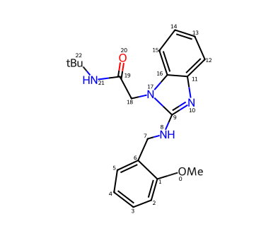 COc1ccccc1CNc1nc2ccccc2n1CC(=O)NC(C)(C)C